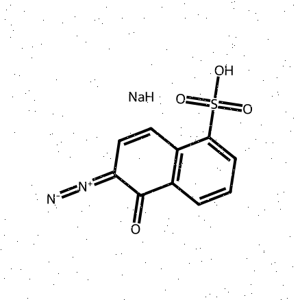 [N-]=[N+]=C1C=Cc2c(cccc2S(=O)(=O)O)C1=O.[NaH]